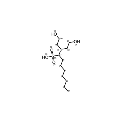 CCCCCCCC(N(CCO)CCO)S(=O)(=O)O